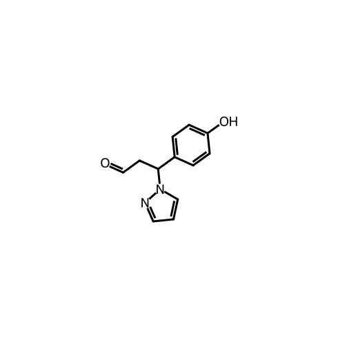 O=CCC(c1ccc(O)cc1)n1cccn1